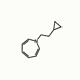 [CH]1CC1CCN1C=CC=CC=C1